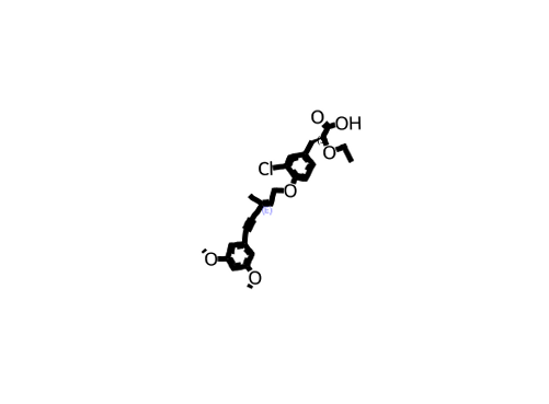 CCO[C@@H](Cc1ccc(OC/C=C(\C)C#Cc2cc(OC)cc(OC)c2)c(Cl)c1)C(=O)O